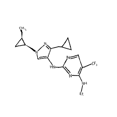 CCNc1nc(Nc2cn([C@H]3C[C@H]3C)nc2C2CC2)ncc1C(F)(F)F